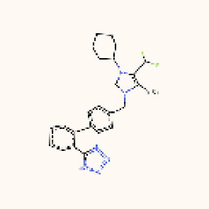 CCCCC1=C(C(F)F)N(C2CCCCC2)CN1Cc1ccc(-c2ccccc2-c2nnn[nH]2)cc1